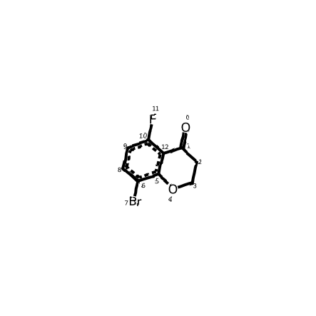 O=C1CCOc2c(Br)ccc(F)c21